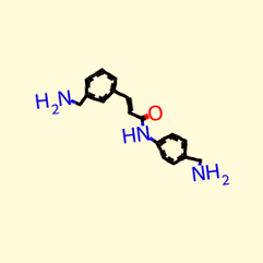 NCc1ccc(NC(=O)C=Cc2cccc(CN)c2)cc1